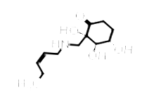 CC/C=C\CNC[C@]1(O)C(=O)CC[C@H](O)[C@H]1O